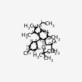 CCn1c(C)c(C)c2c(-c3ccc(Cl)cc3)c([C@H](OC(C)(C)C)C(C)=O)c(C)nc21